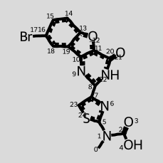 CN(C(=O)O)c1nc(-c2nc3c(oc4ccc(Br)cc43)c(=O)[nH]2)cs1